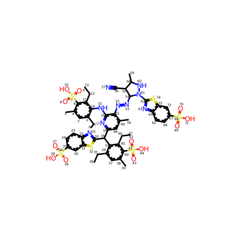 CCc1cc(C)c(S(=O)(=O)O)c(CC)c1Nc1nc(C(c2nc3ccc(S(=O)(=O)O)cc3s2)c2c(CC)cc(C)c(S(=O)(=O)O)c2CC)cc(C)c1N=NC1C(C#N)C(C)NN1c1nc2ccc(S(=O)(=O)O)cc2s1